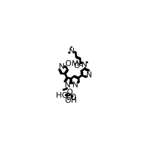 COc1cc(-c2cn(C(C)OP(=O)(O)O)c3ncc(-c4cncc(N(C)C(=O)C=CCN(C)C)c4)cc23)ccn1